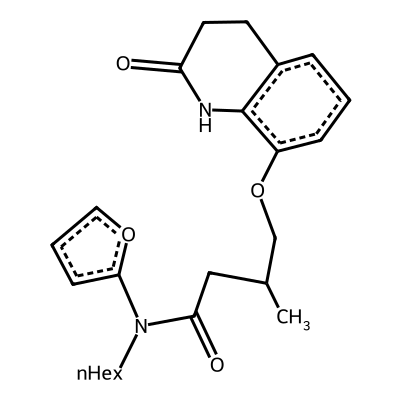 CCCCCCN(C(=O)CC(C)COc1cccc2c1NC(=O)CC2)c1ccco1